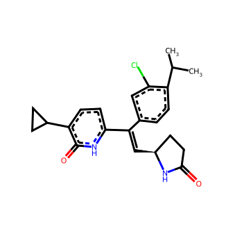 CC(C)c1ccc(/C(=C\[C@H]2CCC(=O)N2)c2ccc(C3CC3)c(=O)[nH]2)cc1Cl